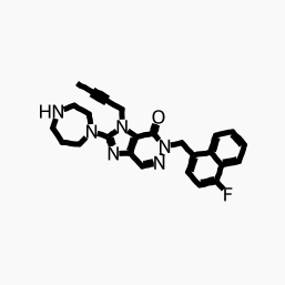 CC#CCn1c(N2CCCNCC2)nc2cnn(Cc3ccc(F)c4ccccc34)c(=O)c21